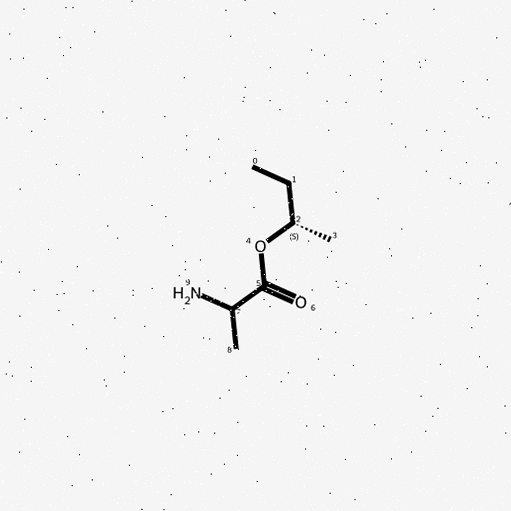 CC[C@H](C)OC(=O)C(C)N